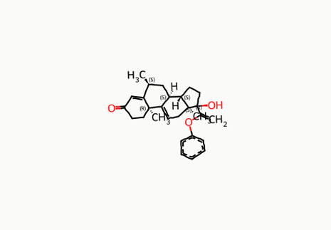 C=C(Oc1ccccc1)[C@@]1(O)CC[C@H]2[C@@H]3C[C@H](C)C4=CC(=O)CC[C@]4(C)C3=CC[C@@]21C